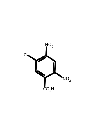 O=C(O)c1cc(Cl)c([N+](=O)[O-])cc1[N+](=O)[O-]